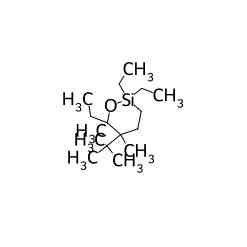 CCC1(C)O[Si](CC)(CC)CCC1(C)C(C)(C)C